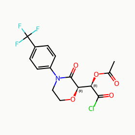 CC(=O)O[C@@H](C(=O)Cl)[C@H]1OCCN(c2ccc(C(F)(F)F)cc2)C1=O